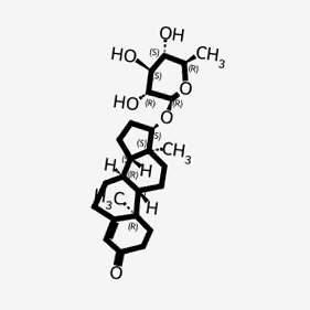 C[C@H]1O[C@@H](O[C@H]2CC[C@H]3[C@@H]4CCC5=CC(=O)CC[C@]5(C)[C@H]4CC[C@]23C)[C@H](O)[C@@H](O)[C@@H]1O